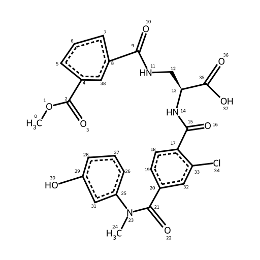 COC(=O)c1cccc(C(=O)NC[C@H](NC(=O)c2ccc(C(=O)N(C)c3cccc(O)c3)cc2Cl)C(=O)O)c1